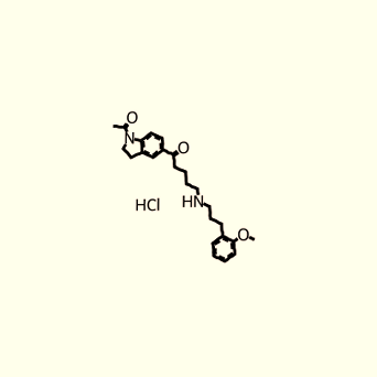 COc1ccccc1CCCNCCCCC(=O)c1ccc2c(c1)CCN2C(C)=O.Cl